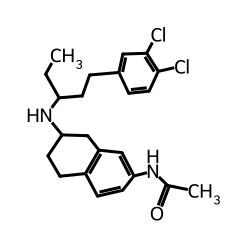 CCC(CCc1ccc(Cl)c(Cl)c1)NC1CCc2ccc(NC(C)=O)cc2C1